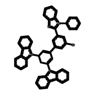 Brc1cc(C2=CC(n3c4ccccc4c4ccccc43)CC(n3c4ccccc4c4ccccc43)=C2)cc(-c2nc3ccccc3n2-c2ccccc2)c1